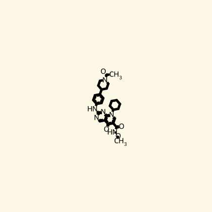 CONC(=O)c1cn(C2CCCCC2)c2nc(Nc3ccc(C4CCN(C(C)=O)CC4)cc3)ncc2c1=O